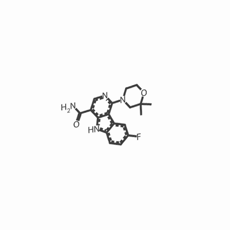 CC1(C)CN(c2ncc(C(N)=O)c3[nH]c4ccc(F)cc4c23)CCO1